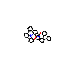 O=C1c2cccc(-n3c4c(-c5ccccc5)cccc4c4cccc(-c5ccccc5)c43)c2C(=O)N1c1cccc(-c2ccccc2)c1-c1ccccc1